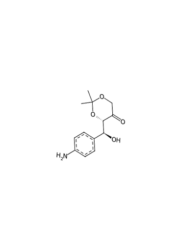 CC1(C)OCC(=O)[C@H]([C@@H](O)c2ccc(N)cc2)O1